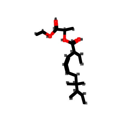 CCOC(=O)C(C)OC(=O)C(C=C=CCC(C)(C)C(C)CC)CC